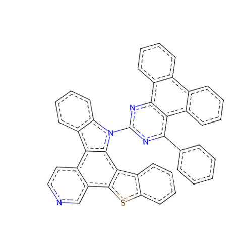 c1ccc(-c2nc(-n3c4ccccc4c4c5ccncc5c5sc6ccccc6c5c43)nc3c4ccccc4c4ccccc4c23)cc1